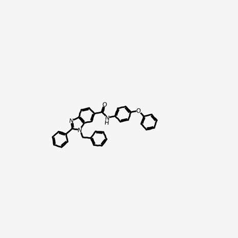 O=C(Nc1ccc(Oc2ccccc2)cc1)c1ccc2nc(-c3ccccc3)n(Cc3ccccc3)c2c1